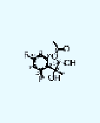 CC(=O)O[C@H](O)C(C)(O)c1ccc(F)cc1F